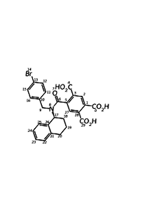 O=C(O)c1cc(C(=O)O)c(C(=O)N(Cc2ccc(Br)cc2)[C@H]2CCCc3ccccc32)cc1C(=O)O